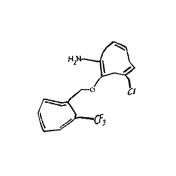 Nc1cccc(Cl)c1OCc1ccccc1C(F)(F)F